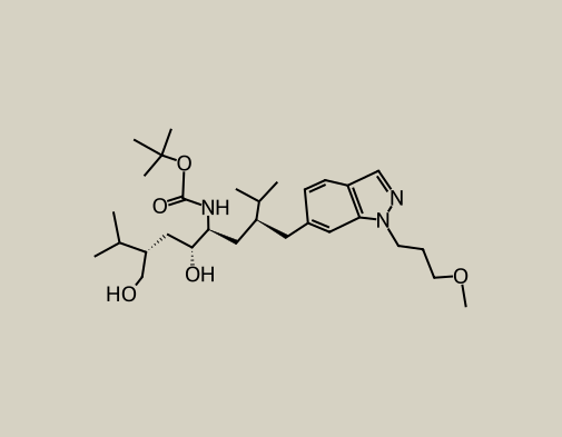 COCCCn1ncc2ccc(C[C@@H](C[C@H](NC(=O)OC(C)(C)C)[C@H](O)C[C@H](CO)C(C)C)C(C)C)cc21